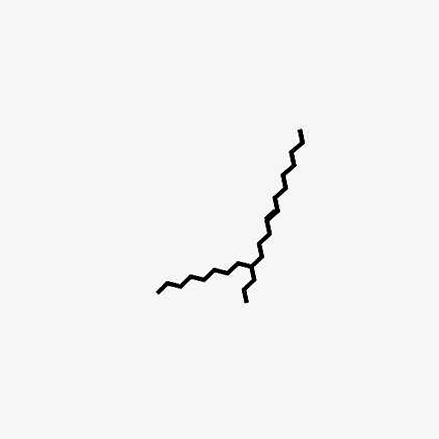 CCCCCCCC=CCCCC(CCC)CCCCCCCC